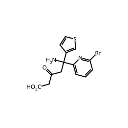 NC(CC(=O)CC(=O)O)(c1ccsc1)c1cccc(Br)n1